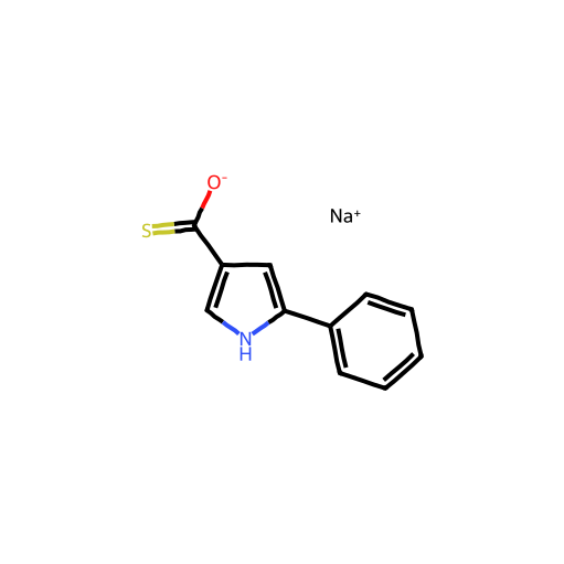 [Na+].[O-]C(=S)c1c[nH]c(-c2ccccc2)c1